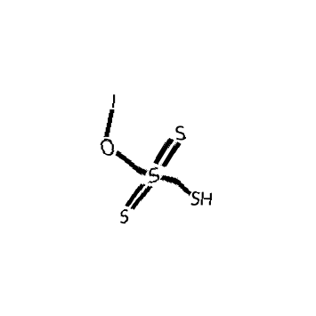 S=S(=S)(S)OI